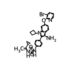 C[C@H](NS(=O)(=O)Nc1ccc(-c2c(N)c3ccc(Oc4ncccc4Br)cc3n2C2CCC2)cc1)C1CC1